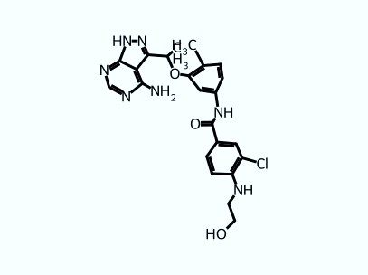 Cc1ccc(NC(=O)c2ccc(NCCO)c(Cl)c2)cc1OC(C)c1n[nH]c2ncnc(N)c12